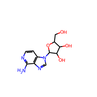 Nc1nccc2c1ncn2C1OC(CO)C(O)C1O